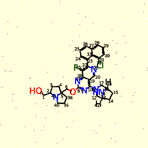 OCC1CCC2(COc3nc(N4C[C@H]5CC[C@@H](C4)N5)c4cnc(-c5cccc6cccc(Cl)c56)c(F)c4n3)CCCN12